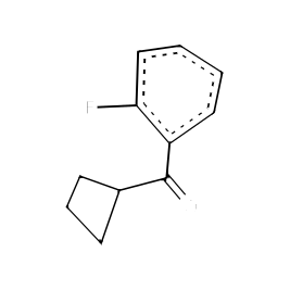 O=C(c1ccccc1F)C1CCC1